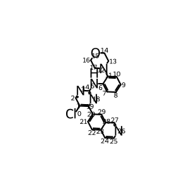 Clc1cnc(Nc2ccccc2N2CCOCC2)nc1-c1ccc2ccncc2c1